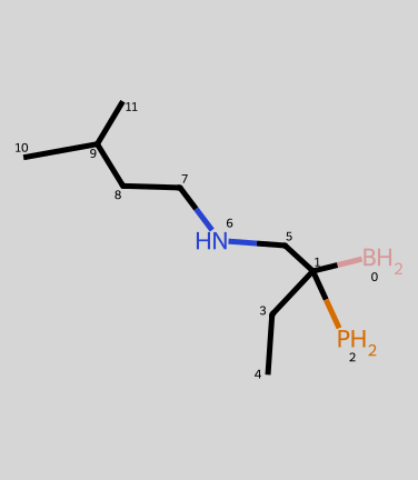 BC(P)(CC)CNCCC(C)C